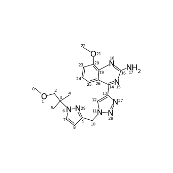 COCC(C)(C)n1ccc(Cn2cc(-c3nc(N)nc4c(OC)cccc34)nn2)n1